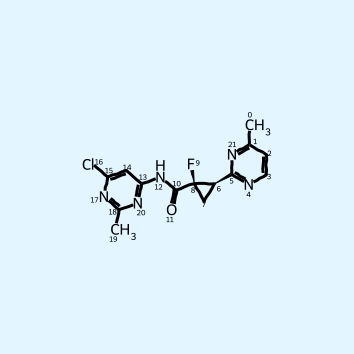 Cc1ccnc([C@H]2C[C@]2(F)C(=O)Nc2cc(Cl)nc(C)n2)n1